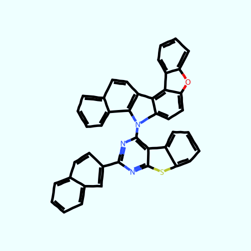 c1ccc2cc(-c3nc(-n4c5ccc6oc7ccccc7c6c5c5ccc6ccccc6c54)c4c(n3)sc3ccccc34)ccc2c1